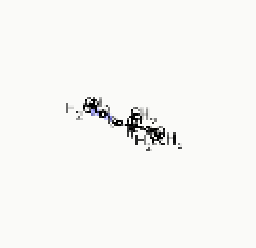 C=CC(=O)Oc1cc(C#Cc2ccc(COC(=O)C(=C)C)cc2)c(F)c(F)c1C#Cc1ccc(OC/C=C/c2ccc(/C=C/OC(=O)C(=C)C)cc2)cc1